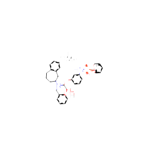 C.COc1ccc2c(c1)CC(N(Cc1ccccc1)C(Oc1cccc(NS(=O)(=O)c3cc4ccc3OC4)c1)[C@H](C)O)CCC2